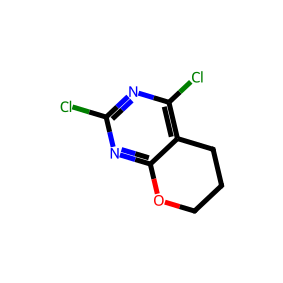 Clc1nc(Cl)c2c(n1)OCCC2